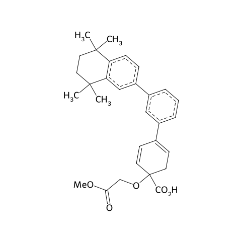 COC(=O)COC1(C(=O)O)C=CC(c2cccc(-c3ccc4c(c3)C(C)(C)CCC4(C)C)c2)=CC1